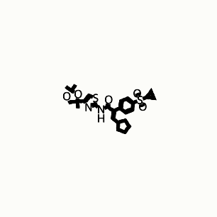 CC1(C)OCC(C)(c2csc(NC(=O)/C(=C/C3CCCC3)c3ccc(S(=O)(=O)C4CC4)cc3)n2)O1